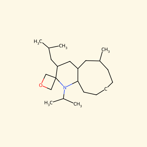 CC(C)CC1CC2CC(C)CCCCCC2N(C(C)C)C12COC2